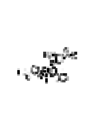 Cc1cccc(C)c1-c1cc(O[C@@H]2CCN(C(=O)OC(C)(C)C)C[C@H]2N)nc(NS(=O)(=O)c2cccc(C(=O)O)c2)n1